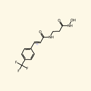 O=C(/C=C/c1ccc(C(F)(F)F)cc1)NCCC(=O)NO